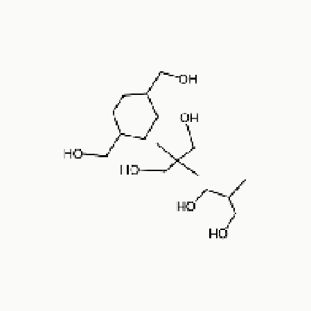 CC(C)(CO)CO.CC(CO)CO.OCC1CCC(CO)CC1